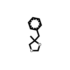 CC1(Cc2ccccc2)COCO1